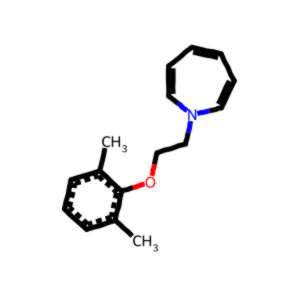 Cc1cccc(C)c1OCCN1C=CC=CC=C1